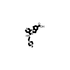 CN1CCN(CCNc2nc3cc4cc(C(=O)O)ccc4n3c3cnccc23)CC1